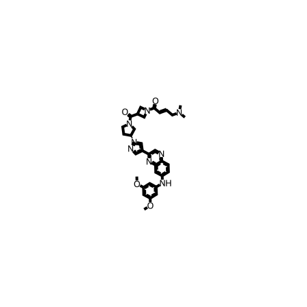 COc1cc(Nc2ccc3ncc(-c4cnn([C@@H]5CCN(C(=O)C6CN(C(=O)/C=C/CN(C)C)C6)C5)c4)nc3c2)cc(OC)c1